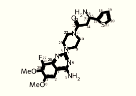 COc1cc2c(N)nc(N3CCN(C(=O)C[C@@H](N)c4cccs4)CC3)nc2c(F)c1OC